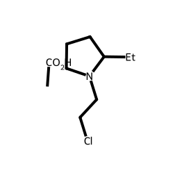 CC(=O)O.CCC1CCCN1CCCl